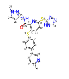 Cc1ccc(-c2ccc(Sc3ccc(Sc4nnc[nH]4)nc3C(=O)Nc3ccn(C)n3)cc2)cn1